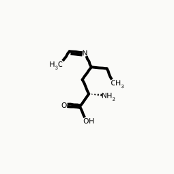 C/C=N\C(CC)C[C@H](N)C(=O)O